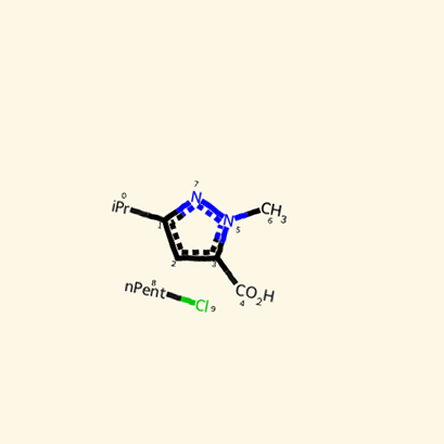 CC(C)c1cc(C(=O)O)n(C)n1.CCCCCCl